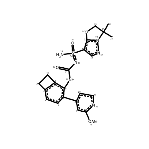 COc1cc(-c2ccc3c(c2NC(=O)N=S(N)(=O)c2cnn4c2OCC4(C)C)CC3)ccn1